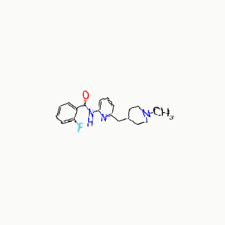 CN1CCC(Cc2cccc(NC(=O)c3ccccc3F)n2)CC1